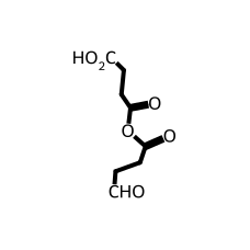 O=CCCC(=O)OC(=O)CCC(=O)O